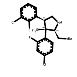 CC(C)(C)C[C@@H]1NC[C@H](c2cccc(Cl)c2F)[C@@]1(N)c1ccc(Cl)cc1F